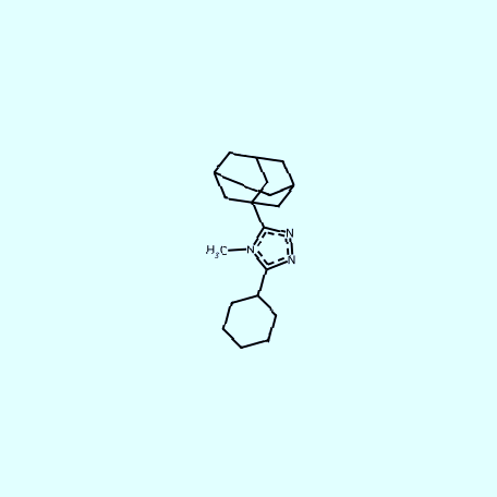 Cn1c(C2CCCCC2)nnc1C12CC3CC(CC(C3)C1)C2